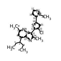 CCC(CC)c1cc(C)nn2c(-c3sc(-c4ccnn4C)cc3Cl)c(C)nc12